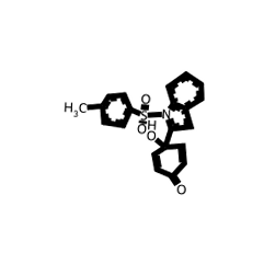 Cc1ccc(S(=O)(=O)n2c(C3(O)C=CC(=O)C=C3)cc3ccccc32)cc1